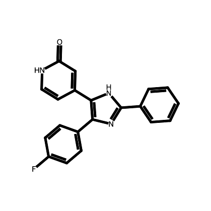 O=c1cc(-c2[nH]c(-c3ccccc3)nc2-c2ccc(F)cc2)cc[nH]1